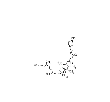 CCCN1CCN(CCOC(=O)CCC(=O)Cc2c(C)c(C)c3c(c2C)CCC(C)(CCCC(C)CCCC(C)CCCC(C)C)O3)CC1